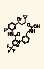 O=C(O)NCc1cccc(-n2nc(C(F)(F)F)cc2C(=O)Nc2cc(C(Br)CCC3CC3)ccc2F)c1